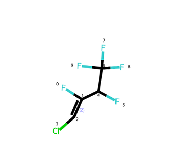 F/C(=C\Cl)C(F)C(F)(F)F